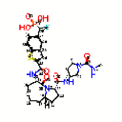 CNC(=O)N1CC[C@@H](NC(=O)[C@@H]2CC[C@@H]3CCCC[C@H](NC(=O)c4cc5cc(C(F)P(=O)(O)O)ccc5s4)C(=O)N32)C1